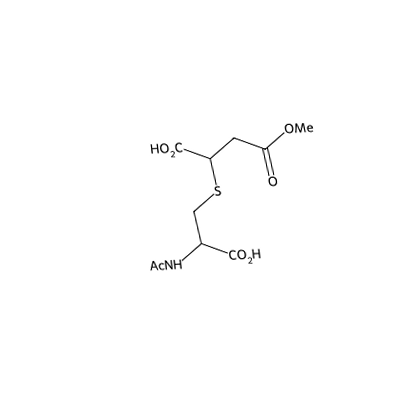 COC(=O)CC(SCC(NC(C)=O)C(=O)O)C(=O)O